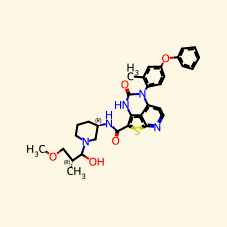 COC[C@@H](C)C(O)N1CCC[C@@H](NC(=O)c2sc3nccc4c3c2NC(=O)N4c2ccc(Oc3ccccc3)cc2C)C1